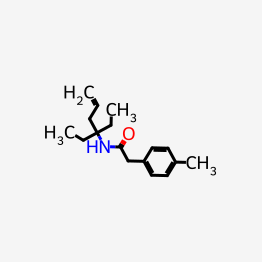 C=CCC(CC)(CC)NC(=O)Cc1ccc(C)cc1